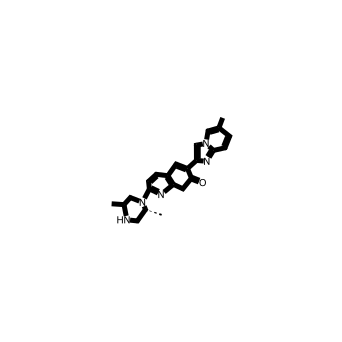 Cc1ccc2nc(C3=Cc4ccc(N5CC(C)NC[C@H]5C)nc4CC3=O)cn2c1